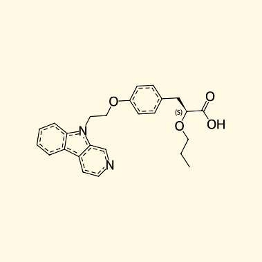 CCCO[C@@H](Cc1ccc(OCCn2c3ccccc3c3ccncc32)cc1)C(=O)O